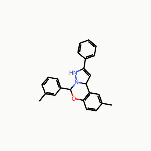 Cc1cccc(C2Oc3ccc(C)cc3C3C=C(c4ccccc4)NN32)c1